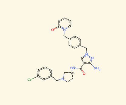 Nc1nn(Cc2ccc(Cn3ccccc3=O)cc2)cc1C(=O)N[C@@H]1CCN(Cc2cccc(Cl)c2)C1